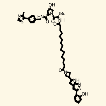 Cc1ncsc1-c1ccc(CNC(=O)[C@@H]2C[C@@H](O)CN2C(=O)[C@@H](NC(=O)CCCCCCCCCCCCCC(=O)N2CC(c3cc4cc(-c5ccccc5O)nnc4[nH]3)C2)C(C)(C)C)cc1